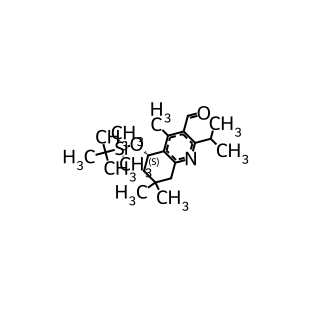 Cc1c(C=O)c(C(C)C)nc2c1[C@@H](O[Si](C)(C)C(C)(C)C)CC(C)(C)C2